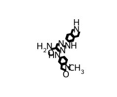 CN1C(=O)Cc2cc(Nc3nc(Nc4ccc5c(c4)CCNC5)ncc3C(N)=O)ccc21